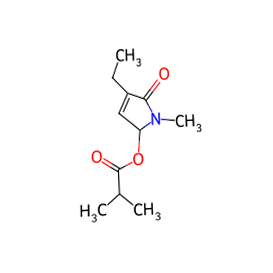 CCC1=CC(OC(=O)C(C)C)N(C)C1=O